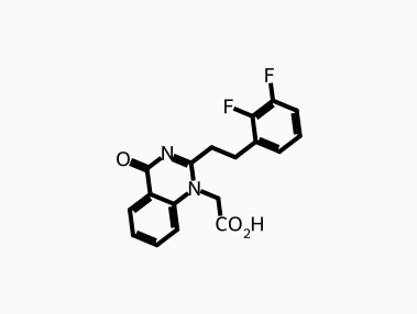 O=C(O)Cn1c(CCc2cccc(F)c2F)nc(=O)c2ccccc21